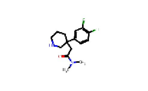 CN(C)C(=O)CC1(c2ccc(Cl)c(Cl)c2)CCCNC1